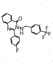 O=c1c2ccccc2nc(-c2ccc(F)cc2)n1NCc1ccc(C(F)(F)F)cc1